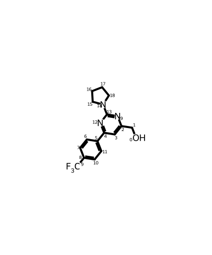 OCc1cc(-c2ccc(C(F)(F)F)cc2)nc(N2CCCC2)n1